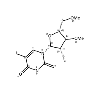 C=C1NC(=O)C(C)=CN1[C@@H]1O[C@H](COC)C(OC)[C@@H]1F